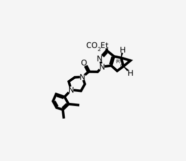 CCOC(=O)c1nn(CC(=O)N2CCN(c3cccc(C)c3C)CC2)c2c1[C@@H]1C[C@@H]1C2